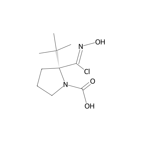 CC(C)(C)[C@@]1(C(Cl)=NO)CCCN1C(=O)O